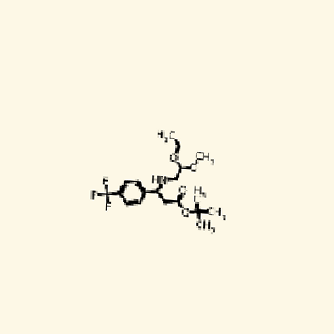 CCOC(CNC(CC(=O)OC(C)(C)C)c1ccc(C(F)(F)F)cc1)OC